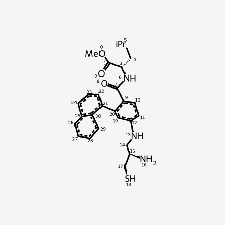 COC(=O)[C@H](CC(C)C)NC(=O)c1ccc(NC[C@@H](N)CS)cc1-c1cccc2ccccc12